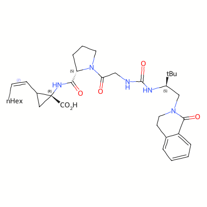 CCCCCC/C=C\C1C[C@]1(NC(=O)[C@@H]1CCCN1C(=O)CNC(=O)N[C@H](CN1CCc2ccccc2C1=O)C(C)(C)C)C(=O)O